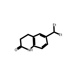 CCC(CC)c1ccc2c(c1)CCC(=O)N2